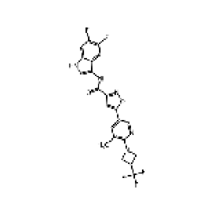 Cc1cc(-c2cc(C(=O)Nc3c[nH]c4cc(F)c(F)cc34)no2)cnc1N1CC(C(F)(F)F)C1